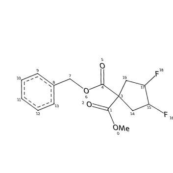 COC(=O)C1(C(=O)OCc2ccccc2)CC(F)C(F)C1